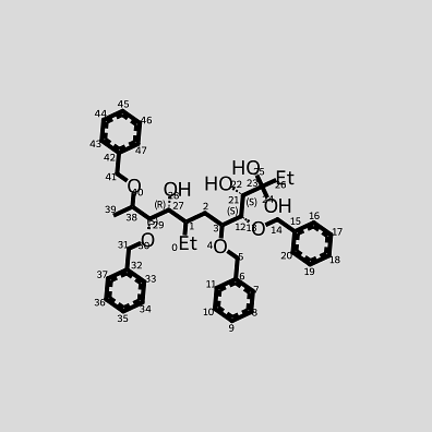 CCC(CC(OCc1ccccc1)[C@@H](OCc1ccccc1)[C@H](O)C(O)(O)CC)[C@@H](O)[C@H](OCc1ccccc1)C(C)OCc1ccccc1